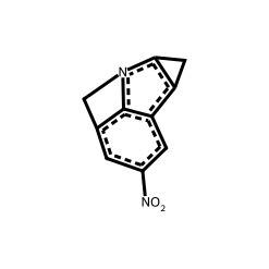 O=[N+]([O-])c1cc2c3c(c1)c1c(n3C2)C1